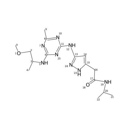 COCC(C)Nc1nc(C)nc(Nc2cc(CC(=O)NC(C)C)[nH]n2)n1